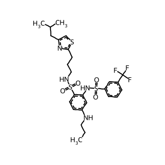 CCCNc1ccc(S(=O)(=O)NCCCc2nc(CC(C)C)cs2)c(NS(=O)(=O)c2cccc(C(F)(F)F)c2)c1